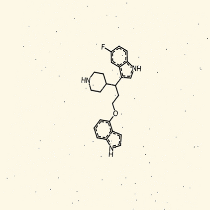 Fc1ccc2[nH]cc(C(CCOc3cccc4[nH]ccc34)C3CCNCC3)c2c1